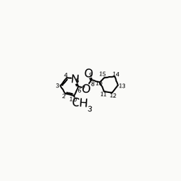 Cc1cccnc1OC(=O)C1CCCCC1